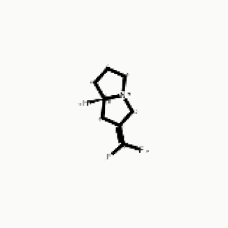 FC(F)=C1C[C@@H]2CCCN2C1